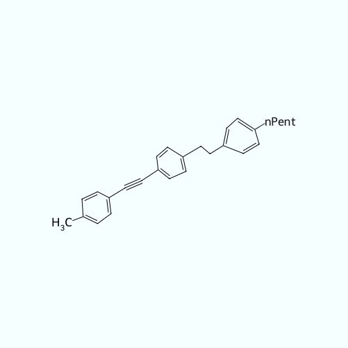 CCCCCc1ccc(CCc2ccc(C#Cc3ccc(C)cc3)cc2)cc1